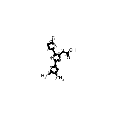 Cc1cc(-c2nc(-c3ccc(Cl)s3)c(CC(=O)O)s2)sc1C